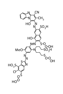 COc1cc(N=Nc2c(SOOO)cc3cc(S(=O)(=O)O)c(N=Nc4c(C)c(C#N)c5nc6ccccc6n5c4O)cc3c2O)c(N(CCCSOOO)CCCS(=O)(=O)O)cc1N=Nc1nc2cc(SOOO)c(Cl)c(S(=O)(=O)O)c2s1